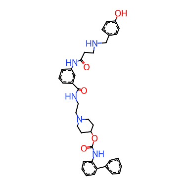 O=C(CCNCc1ccc(O)cc1)Nc1cccc(C(=O)NCCN2CCC(OC(=O)Nc3ccccc3-c3ccccc3)CC2)c1